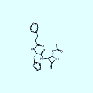 CC(=O)O[C@@H]1NC(=O)[C@H]1NC(=O)[C@H](Cc1cccs1)NC(=O)CCc1ccccc1